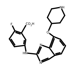 O=C(O)c1cc(Nc2ncc3cccc(OC4CCNCC4)c3n2)ccc1F